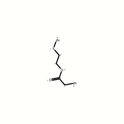 CC(C)CC(=O)OCCSC(C)C